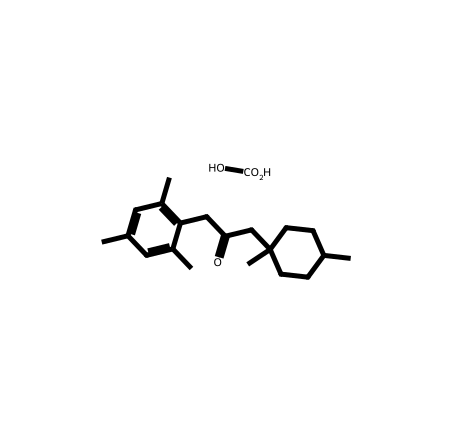 Cc1cc(C)c(CC(=O)CC2(C)CCC(C)CC2)c(C)c1.O=C(O)O